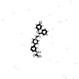 CC(C)C(=O)Nc1cccc(C2CCN(CC[C@H](Oc3ccc(Cl)cc3)c3ccccc3)CC2)c1